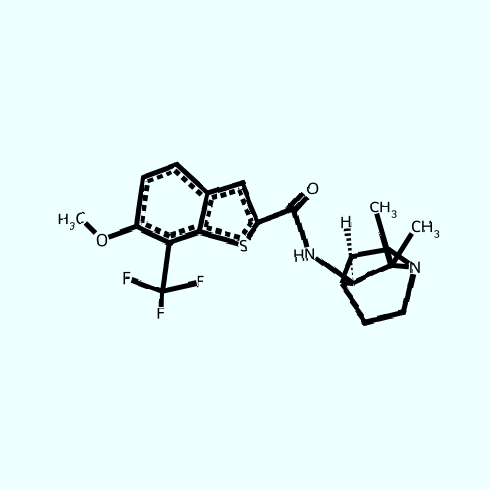 COc1ccc2cc(C(=O)N[C@@H]3C4CCN(CC4)C3(C)C)sc2c1C(F)(F)F